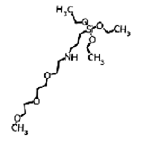 CCO[Si](CCCNCCOCCOCCOC)(OCC)OCC